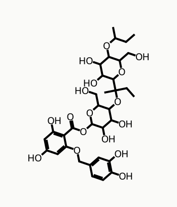 CCC(C)OC1C(CO)OC(C(C)(CC)OC2C(CO)OC(OC(=O)c3c(O)cc(O)cc3OCc3ccc(O)c(O)c3)C(O)C2O)C(O)C1O